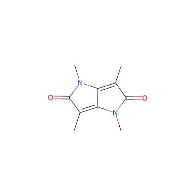 CC1=C2C(=C(C)C(=O)N2C)N(C)C1=O